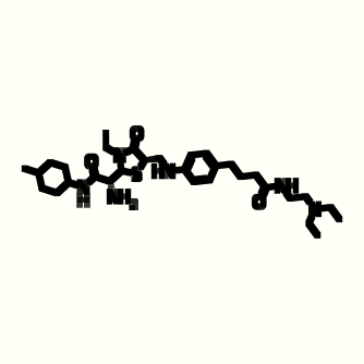 CCN(CC)CCNC(=O)CCCc1ccc(NC[C@H]2SC([C@H](N)C(=O)NC3CCC(C)CC3)N(CC)C2=O)cc1